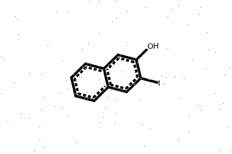 Oc1cc2ccccc2cc1I